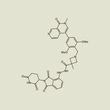 COc1cc(-c2cn(C)c(=O)c3cnccc23)cc(OC)c1CN1CC(C)(C(=O)NNc2cccc3c2C(=O)N(C2CCC(=O)NC2=O)C3=O)C1